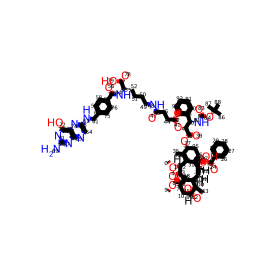 CO[C@H]1C(=O)[C@]2(C)[C@@H](OC)C[C@H]3OC[C@@]3(OC(C)C)[C@H]2[C@@H]2[C@@H](OC(=O)c3ccccc3)[C@@]3(C)C1=C(C)[C@@H](OC(=O)[C@H](OC(=O)CCC(=O)NCCCC[C@H](NC(=O)c1ccc(CNc4cnc5nc(N)nc(O)c5n4)cc1)C(=O)O)[C@@H](NC(=O)OC(C)(C)C)c1ccccc1)C[C@@]23O